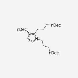 CCCCCCCCCCCCCc1n(CCCCCCCCCC)cc[n+]1CCCCCCCCCCCCC